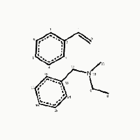 C=Cc1ccccc1.CCN(C)Cc1ccccc1